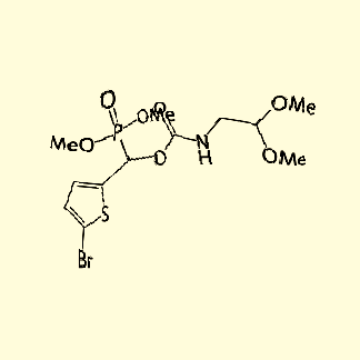 COC(CNC(=O)OC(c1ccc(Br)s1)P(=O)(OC)OC)OC